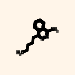 CCCCCc1nnc(N)c2ccccc12